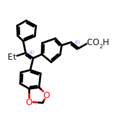 CC/C(=C(/c1ccc(/C=C/C(=O)O)cc1)c1ccc2c(c1)OCO2)c1ccccc1